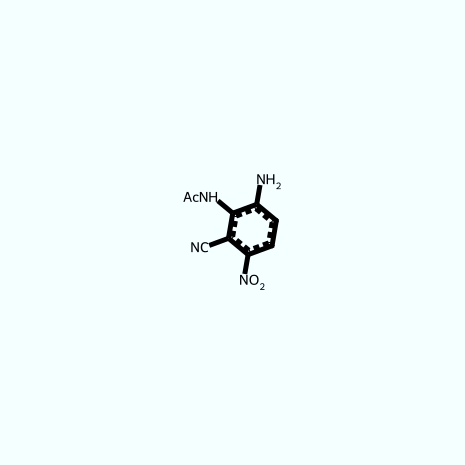 CC(=O)Nc1c(N)ccc([N+](=O)[O-])c1C#N